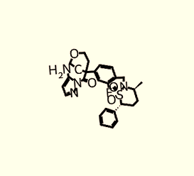 C[C@H]1CC[C@H](c2ccccc2)S(=O)(=O)N1Cc1ccc(C2(C(=O)n3nccc3N)CCOCC2)cc1F